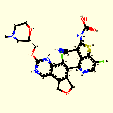 CN1CCO[C@H](COc2ncc3c4c(c(-c5ncc(F)c6sc(NC(=O)O)c(C#N)c56)c(F)c3n2)COC4)C1